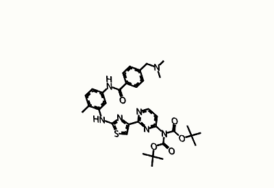 Cc1ccc(NC(=O)c2ccc(CN(C)C)cc2)cc1Nc1nc(-c2nccc(N(C(=O)OC(C)(C)C)C(=O)OC(C)(C)C)n2)cs1